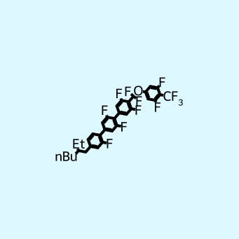 CCCCC(CC)Cc1ccc(-c2cc(F)c(-c3cc(F)c(C(F)(F)Oc4cc(F)c(C(F)(F)F)c(F)c4)c(F)c3)c(F)c2)c(F)c1